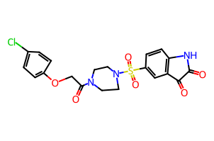 O=C1Nc2ccc(S(=O)(=O)N3CCN(C(=O)COc4ccc(Cl)cc4)CC3)cc2C1=O